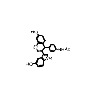 CC(=O)Nc1ccc(C2c3ccc(O)cc3OCC2c2c[nH]c3ccc(O)cc23)cc1